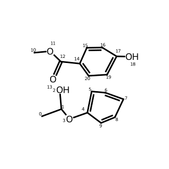 CC(O)Oc1ccccc1.COC(=O)c1ccc(O)cc1